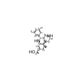 Cc1cc(C)cc(CNc2cc(C(=O)O)cnc2N2CCNCC2)c1